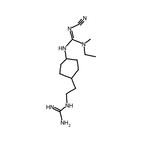 CCN(C)/C(=N\C#N)NC1CCC(CCNC(=N)N)CC1